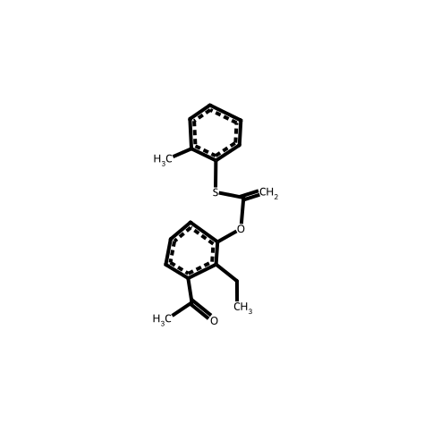 C=C(Oc1cccc(C(C)=O)c1CC)Sc1ccccc1C